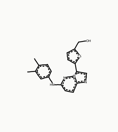 Cc1ccc(Nc2ccc3ncc(-c4ccc(CO)s4)n3n2)cc1C